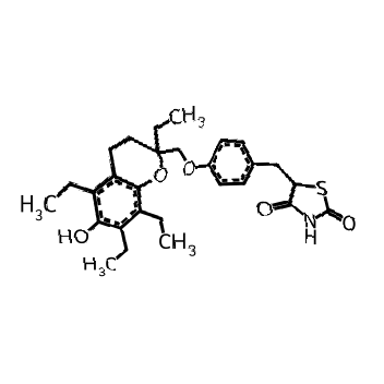 CCc1c(O)c(CC)c2c(c1CC)OC(CC)(COc1ccc(CC3SC(=O)NC3=O)cc1)CC2